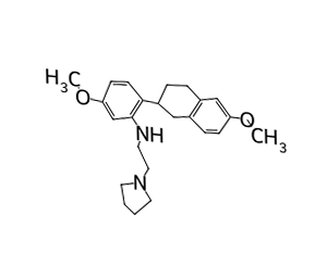 COc1ccc2c(c1)CCC(c1ccc(OC)cc1NCCN1CCCC1)C2